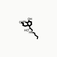 CCC[CH]NC[C@H](O)c1ccc(O)c2[nH]c(=O)ccc12